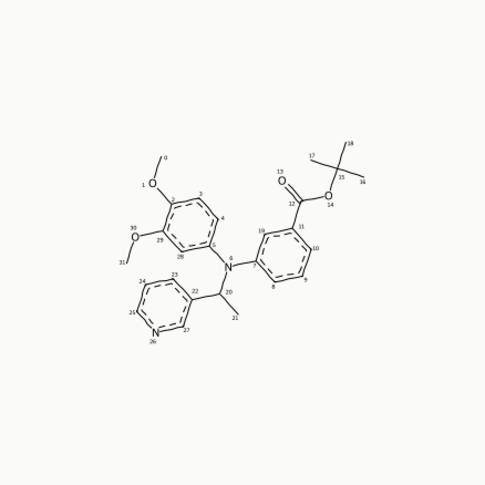 COc1ccc(N(c2cccc(C(=O)OC(C)(C)C)c2)C(C)c2cccnc2)cc1OC